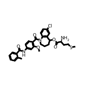 COc1cc(NC(=O)c2ccccc2C)ccc1C(=O)N1CCCC(OC(=O)[C@@H](N)CCSC)c2cc(Cl)ccc21